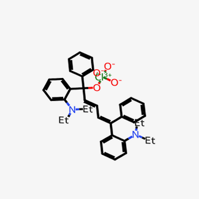 CCN(CC)c1ccccc1C(=CC=CC(O[Cl+3]([O-])([O-])[O-])(c1ccccc1)c1ccccc1N(CC)CC)c1ccccc1